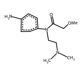 COCC(=O)N(CCN(C)C)c1ccc(N)cc1